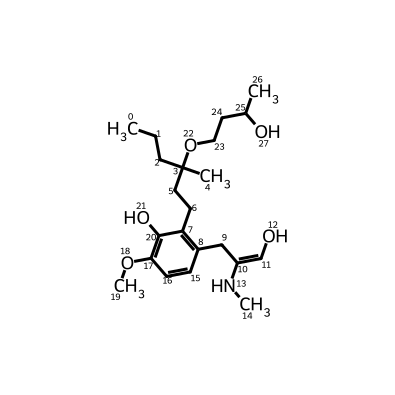 CCCC(C)(CCc1c(C/C(=C\O)NC)ccc(OC)c1O)OCCC(C)O